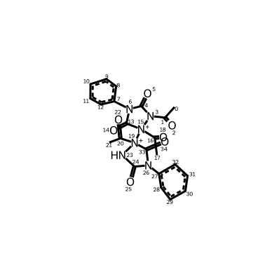 CC(=O)N1C(=O)N(c2ccccc2)C(=O)[N+]1(C(C)=O)[N+]1(C(C)=O)NC(=O)N(c2ccccc2)C1=O